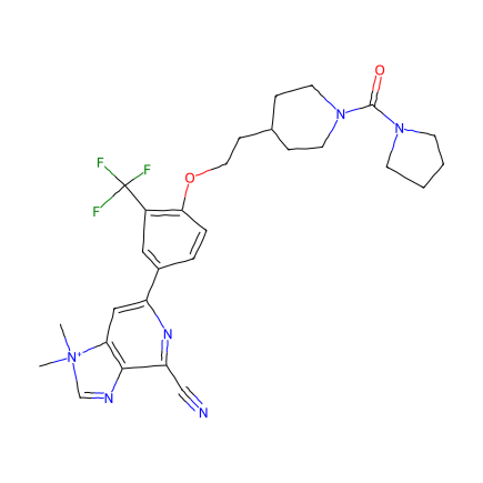 C[N+]1(C)C=Nc2c1cc(-c1ccc(OCCC3CCN(C(=O)N4CCCC4)CC3)c(C(F)(F)F)c1)nc2C#N